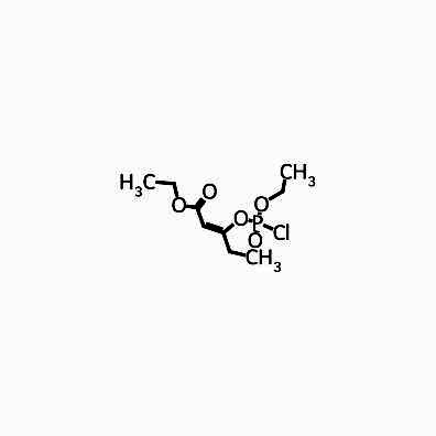 CCOC(=O)C=C(CC)OP(=O)(Cl)OCC